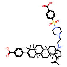 C=C(C)[C@@H]1CC[C@]2(NCCN3CCN(S(=O)(=O)c4ccc(C(=O)O)cc4)CC3)CC[C@]3(C)[C@H](CC[C@@H]4[C@@]5(C)CC=C(c6ccc(C(=O)O)cc6)C(C)(C)[C@@H]5CC[C@]43C)[C@@H]12